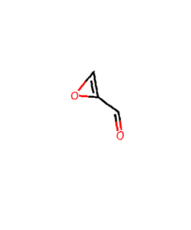 O=CC1=CO1